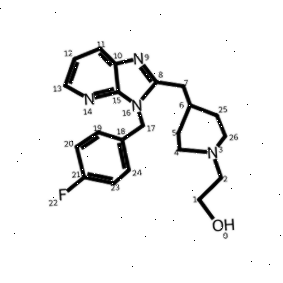 OCCN1CCC(Cc2nc3cccnc3n2Cc2ccc(F)cc2)CC1